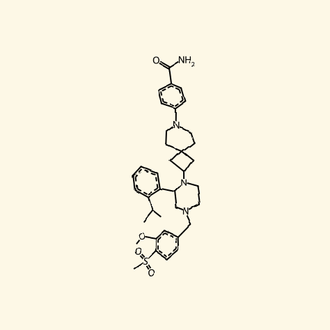 COc1cc(CN2CCN(C3CC4(CCN(c5ccc(C(N)=O)cc5)CC4)C3)C(c3ccccc3C(C)C)C2)ccc1S(C)(=O)=O